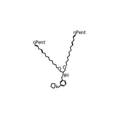 CCCCCC=CCC=CCCCCCCCCOCC(COCCCCCCCCC=CCC=CCCCCC)NCc1cccc(CN2CCCC2)c1